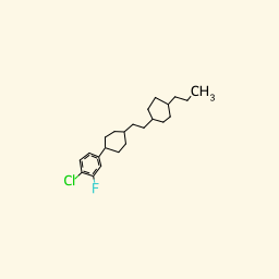 CCCC1CCC(CCC2CCC(c3ccc(Cl)c(F)c3)CC2)CC1